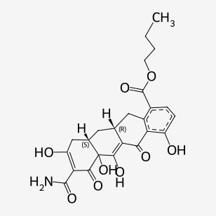 CCCCOC(=O)c1ccc(O)c2c1C[C@H]1C[C@H]3CC(O)=C(C(N)=O)C(=O)C3(O)C(O)=C1C2=O